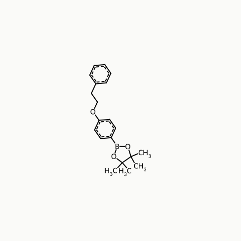 CC1(C)OB(c2ccc(OCCc3ccccc3)cc2)OC1(C)C